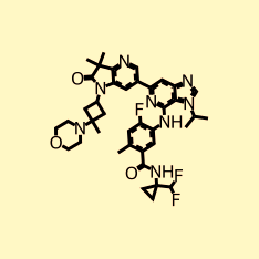 Cc1cc(F)c(Nc2nc(-c3cnc4c(c3)N(C3CC(C)(N5CCOCC5)C3)C(=O)C4(C)C)cc3ncn(C(C)C)c23)cc1C(=O)NC1(C(F)F)CC1